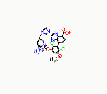 COc1cc(OC)c(Cl)c(-c2ccc(C(=O)O)c3nccnc23)c1Cl.Nc1ccc(Cn2ccnc2)cn1